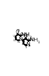 NC1N=CC=CC1=O.NC1N=CC=CC1=O